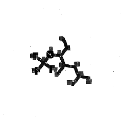 CCC(OC(F)(F)F)C(C)CC(C)C